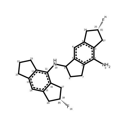 Nc1c2c(cc3c1CCC3Nc1c3c(cc4c1C[C@H](F)C4)CCC3)C[C@H](F)C2